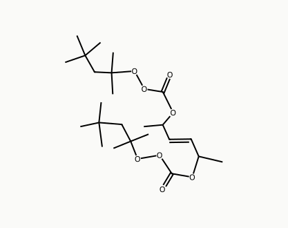 CC(C=CC(C)OC(=O)OOC(C)(C)CC(C)(C)C)OC(=O)OOC(C)(C)CC(C)(C)C